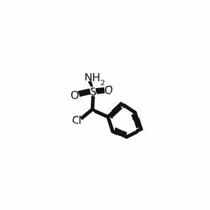 NS(=O)(=O)C(Cl)c1ccccc1